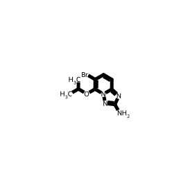 CC(C)Oc1c(Br)ccc2nc(N)nn12